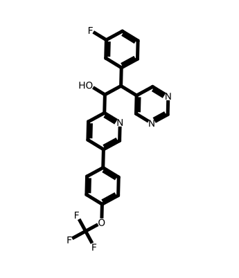 OC(c1ccc(-c2ccc(OC(F)(F)F)cc2)cn1)C(c1cncnc1)c1cccc(F)c1